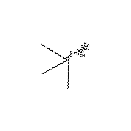 CCCCCCCCCCCCCCCCCCc1cc(COC(=O)CCC(=O)O[C@H]2C[C@H](n3cc(C)c(=O)[nH]c3=O)O[C@@H]2CO)cc(CCCCCCCCCCCCCCCCCC)c1CCCCCCCCCCCCCCCCCC